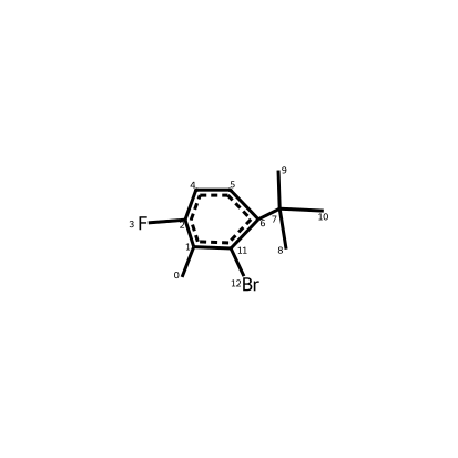 Cc1c(F)ccc(C(C)(C)C)c1Br